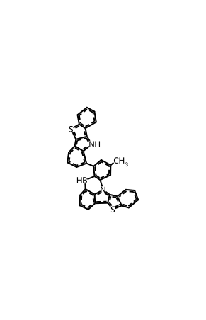 Cc1cc(-c2cccc3c2[nH]c2c4ccccc4sc32)c2c(c1)-n1c3c(cccc3c3sc4ccccc4c31)B2